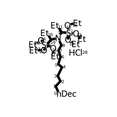 CCCCCCCCCCCCCCCCCCN(C(CC)[Si](OCC)(OCC)OCC)C(CC)[Si](OCC)(OCC)OCC.Cl